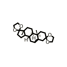 C[C@@]12CCC3(CC1=CC[C@@H]1C4CCC5(OCCO5)[C@]4(C)CC[C@H]12)OCCO3